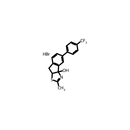 Br.CC1=NC2(O)c3cc(-c4ccc(C(F)(F)F)cc4)ccc3CC2S1